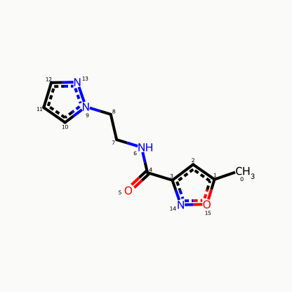 Cc1cc(C(=O)NCCn2cccn2)no1